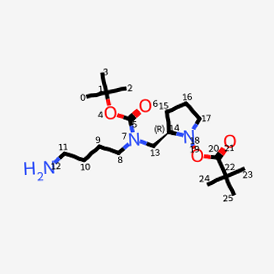 CC(C)(C)OC(=O)N(CCCCN)C[C@H]1CCCN1OC(=O)C(C)(C)C